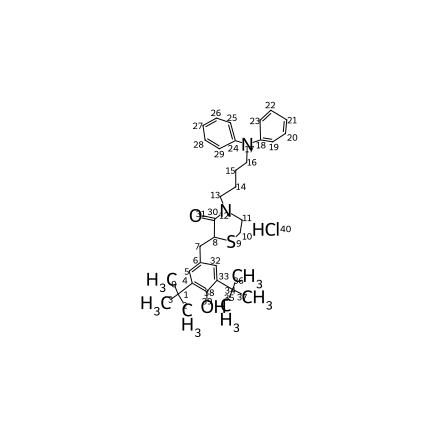 CC(C)(C)c1cc(CC2SCCN(CCCCN(c3ccccc3)c3ccccc3)C2=O)cc(C(C)(C)C)c1O.Cl